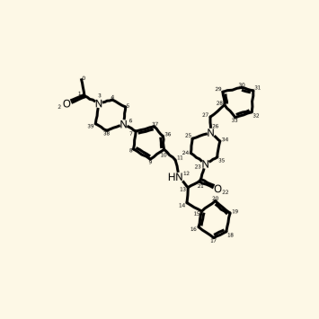 CC(=O)N1CCN(c2ccc(CNC(Cc3ccccc3)C(=O)N3CCN(Cc4ccccc4)CC3)cc2)CC1